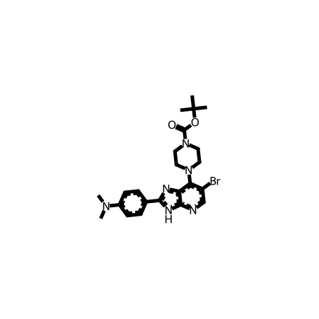 CN(C)c1ccc(-c2nc3c(N4CCN(C(=O)OC(C)(C)C)CC4)c(Br)cnc3[nH]2)cc1